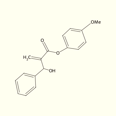 C=C(C(=O)Oc1ccc(OC)cc1)C(O)c1ccccc1